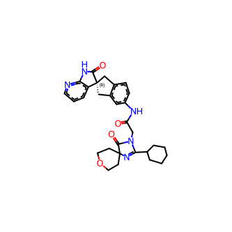 O=C(CN1C(=O)C2(CCOCC2)N=C1C1CCCCC1)Nc1ccc2c(c1)C[C@@]1(C2)C(=O)Nc2ncccc21